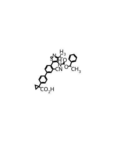 Cc1nsc(-c2ccc(-c3ccc(C4(C(=O)O)CC4)cc3)cc2C#N)c1NC(=O)O[C@H](C)c1ccccc1